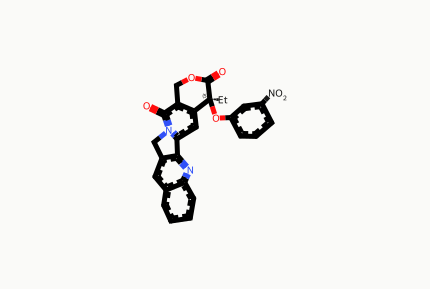 CC[C@@]1(Oc2cccc([N+](=O)[O-])c2)C(=O)OCc2c1cc1n(c2=O)Cc2cc3ccccc3nc2-1